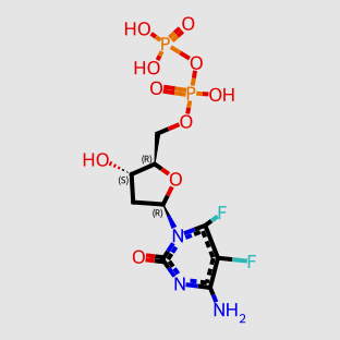 Nc1nc(=O)n([C@H]2C[C@H](O)[C@@H](COP(=O)(O)OP(=O)(O)O)O2)c(F)c1F